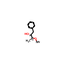 CCCO[C@@H](C)[C@H](O)Cc1ccccc1